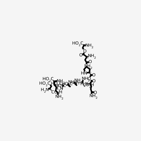 CC(C)[C@H](N)C(=O)O.C[C@H](N)C(=O)O.C[C@H](N)C(=O)O.NC(=O)CC[C@H](N)C(=O)OC(=O)[C@@H]1CCCN1.NC(=O)C[C@H](N)C(=O)OC[C@H](N)C(=O)O.NCC(=O)O.NCCCC[C@H](N)C(=O)O.N[C@@H](CC(=O)O)C(=O)O